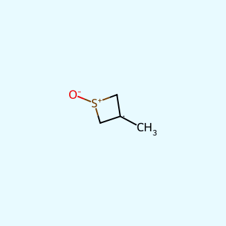 C[C]1C[S+]([O-])C1